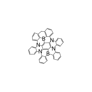 c1ccc2c(c1)B1c3ccccc3-n3c4ccccc4n4c5c6c7c(c1c53)n-2c1ccccc1n7-c1cccc2c1B6c1c(cccc1-4)C2